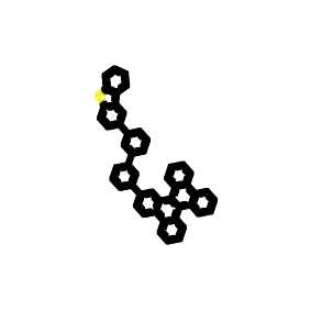 c1cc(-c2cccc(-c3ccc4c5ccccc5c5c6ccccc6c6ccccc6c5c4c3)c2)cc(-c2ccc3sc4ccccc4c3c2)c1